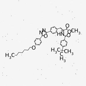 CCCCCCCOc1ccc(-c2nnc(-c3ccc(C[C@H](NC(=O)c4ccc(C(C)(C)C)cc4)C(=O)OC)cc3)o2)cc1